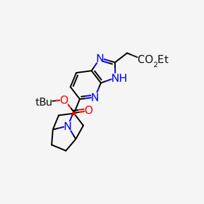 CCOC(=O)Cc1nc2ccc(C3CC4CCC(C3)N4C(=O)OC(C)(C)C)nc2[nH]1